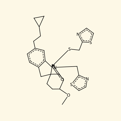 COC1CCC2(CC1)Cc1ccc(CCC3CC3)cc1C21N=C(SCc2nccs2)N(Cc2nccs2)C1=O